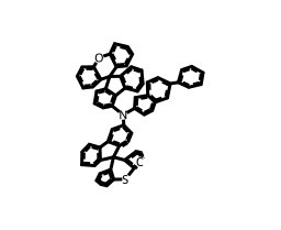 c1ccc(-c2ccc3cc(N(c4ccc5c(c4)-c4ccccc4C54c5ccccc5Sc5ccccc54)c4cccc5c4-c4ccccc4C54c5ccccc5Oc5ccccc54)ccc3c2)cc1